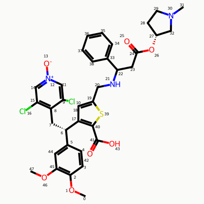 COc1ccc([C@H](Cc2c(Cl)c[n+]([O-])cc2Cl)c2cc(CNC(CC(=O)O[C@@H]3CCN(C)C3)c3ccccc3)sc2C(=O)O)cc1OC